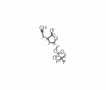 C#CC[C@@H]1C[C@@H](COS(=O)(=O)C(F)(F)F)OC1=O